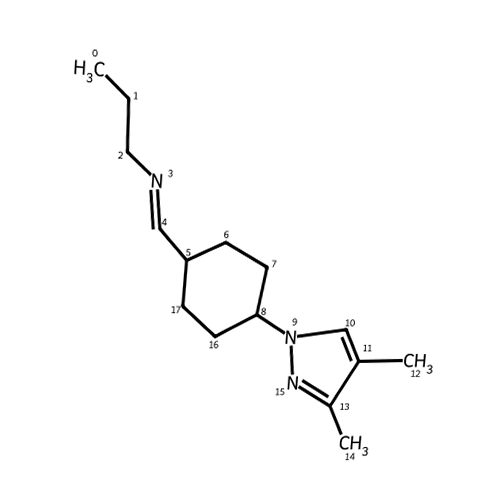 CCC/N=C/C1CCC(n2cc(C)c(C)n2)CC1